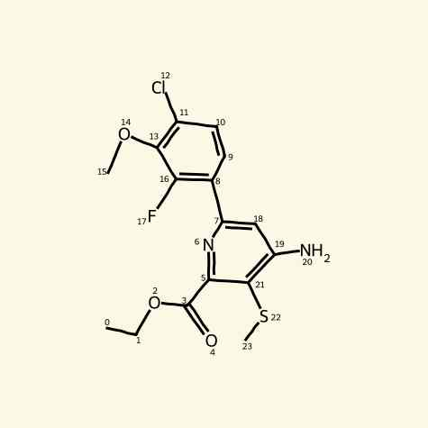 CCOC(=O)c1nc(-c2ccc(Cl)c(OC)c2F)cc(N)c1SC